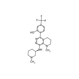 CN1CCC[C@@H](Nc2nnc(-c3ccc(C(F)(F)F)cc3O)c3c2N(C)CCC3)C1